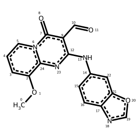 COc1cccn2c(=O)c(C=O)c(Nc3ccc4ncoc4c3)nc12